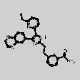 CCc1cccc(-c2[nH]c(CCc3cccc(C(N)=O)c3)nc2-c2ccc3nccnc3c2)n1